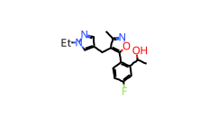 CCn1cc(Cc2c(C)noc2-c2ccc(F)cc2C(C)O)cn1